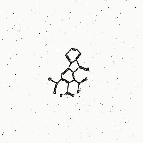 N=C1c2ccccc2-c2cc([N+](=O)[O-])c([N+](=O)[O-])c([N+](=O)[O-])c21